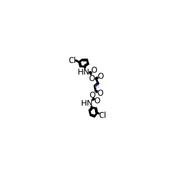 O=C(/C=C/C(=O)OC(=O)Nc1cccc(Cl)c1)OC(=O)Nc1cccc(Cl)c1